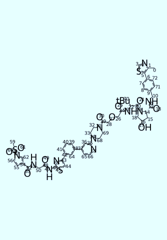 Cc1ncsc1-c1ccc(CNC(=O)[C@@H]2C[C@@H](O)CN2C(=O)[C@@H](NC(=O)COCC(=O)N2CCN(c3cc(-c4cccc(-c5csc(NC(=O)CNC(=O)c6ccn(S(C)(=O)=O)c6)n5)c4)ccn3)CC2)C(C)(C)C)cc1